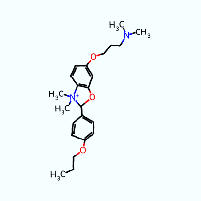 CCCOc1ccc(C2Oc3cc(OCCCN(C)C)ccc3[N+]2(C)C)cc1